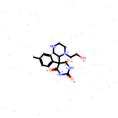 Cc1ccc(C2(C3CNCCN3CCO)C(=O)NC(=O)NC2=O)cc1